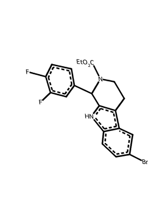 CCOC(=O)N1CCc2c([nH]c3ccc(Br)cc23)C1c1ccc(F)c(F)c1